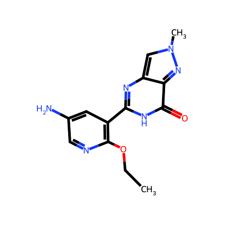 CCOc1ncc(N)cc1-c1nc2cn(C)nc2c(=O)[nH]1